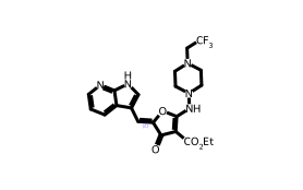 CCOC(=O)C1=C(NN2CCN(CC(F)(F)F)CC2)O/C(=C\c2c[nH]c3ncccc23)C1=O